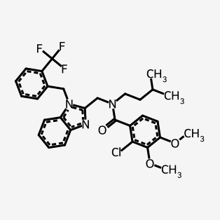 COc1ccc(C(=O)N(CCC(C)C)Cc2nc3ccccc3n2Cc2ccccc2C(F)(F)F)c(Cl)c1OC